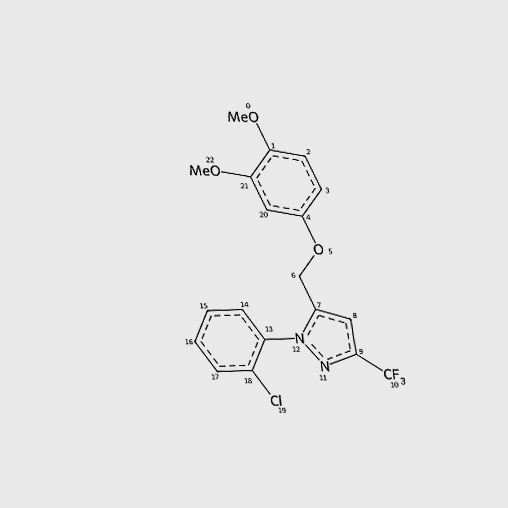 COc1ccc(OCc2cc(C(F)(F)F)nn2-c2ccccc2Cl)cc1OC